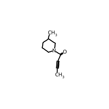 CC#CC(=O)N1CCCC(C)C1